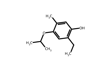 CCc1cc(OC(C)C)c(C)cc1O